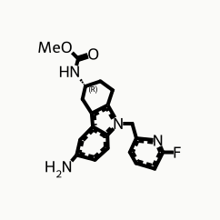 COC(=O)N[C@@H]1CCc2c(c3cc(N)ccc3n2Cc2cccc(F)n2)C1